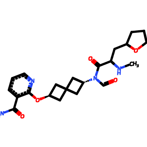 CNC(CC1CCCO1)C(=O)N(C=O)[C@H]1CC2(C[C@H](Oc3ncccc3C(N)=O)C2)C1